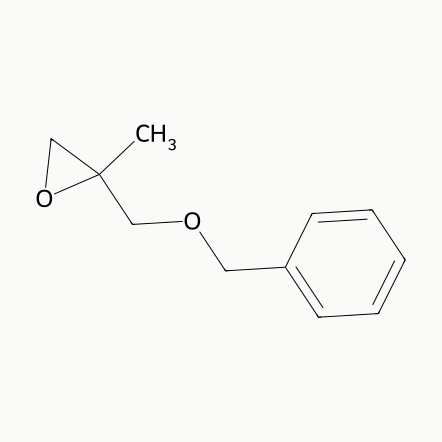 CC1(COCc2ccccc2)CO1